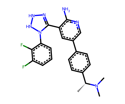 C[C@H](c1ccc(-c2cnc(N)c(C3=NNNN3c3cccc(F)c3F)c2)cc1)N(C)C